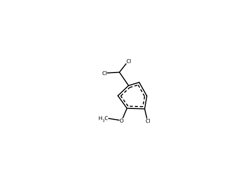 COc1cc(C(Cl)Cl)ccc1Cl